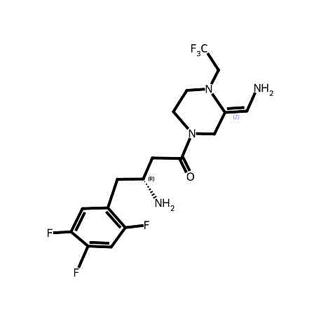 N/C=C1/CN(C(=O)C[C@H](N)Cc2cc(F)c(F)cc2F)CCN1CC(F)(F)F